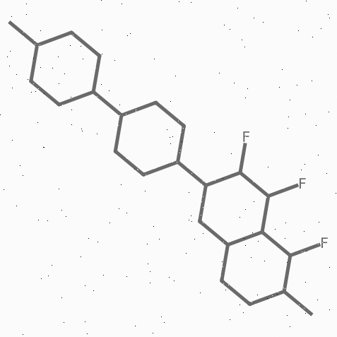 CC1CCC(C2CCC(C3CC4CCC(C)C(F)C4C(F)C3F)CC2)CC1